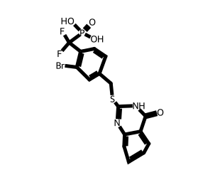 O=c1[nH]c(SCc2ccc(C(F)(F)P(=O)(O)O)c(Br)c2)nc2ccccc12